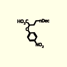 CCCCCCCCCCCCC(Oc1ccc([N+](=O)[O-])cc1)C(=O)O